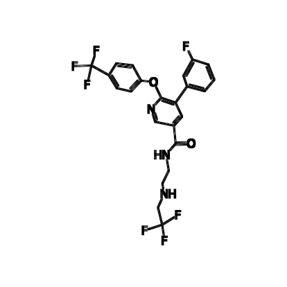 O=C(NCCNCC(F)(F)F)c1cnc(Oc2ccc(C(F)(F)F)cc2)c(-c2cccc(F)c2)c1